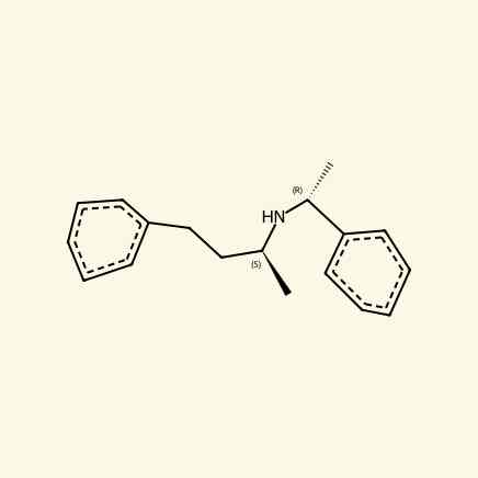 C[C@@H](CCc1ccccc1)N[C@H](C)c1ccccc1